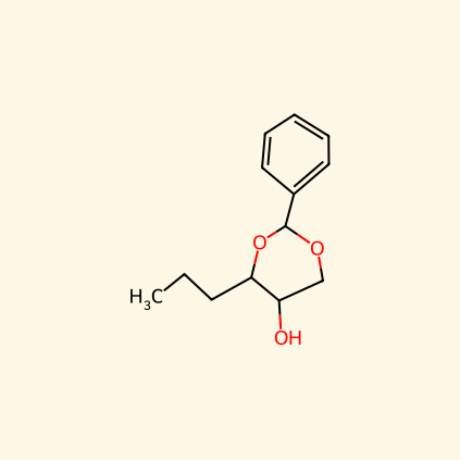 CCCC1OC(c2ccccc2)OCC1O